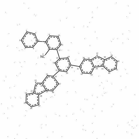 N#Cc1c(-c2ccccc2)cccc1-c1cc(-c2ccc3c(c2)sc2ccccc23)cc(-c2ccc3c(c2)sc2ccccc23)c1